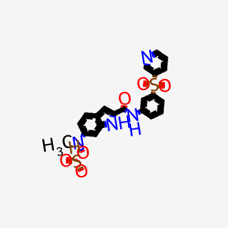 CN(O[SH](=O)=O)c1ccc2cc(C(=O)Nc3cccc(S(=O)(=O)c4cccnc4)c3)[nH]c2c1